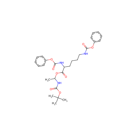 CC(NC(=O)OC(C)(C)C)OC(=O)C(CCCCNC(=O)Oc1ccccc1)NC(=O)Oc1ccccc1